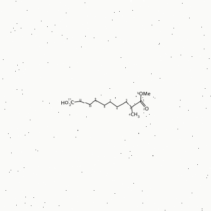 COC(=O)C(C)CCCCCCCC(=O)O